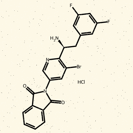 Cl.N[C@@H](Cc1cc(F)cc(F)c1)c1ncc(N2C(=O)c3ccccc3C2=O)cc1Br